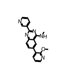 CNc1nc(-c2cccnc2)nc2ccc(-c3cccnc3OC)cc12